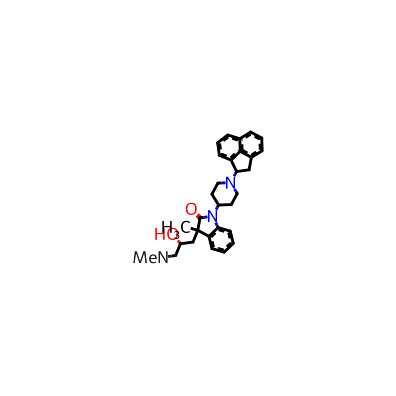 CNCC(O)CC1(C)C(=O)N(C2CCN(C3Cc4cccc5cccc3c45)CC2)c2ccccc21